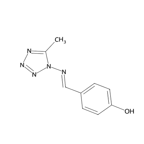 Cc1nnnn1N=Cc1ccc(O)cc1